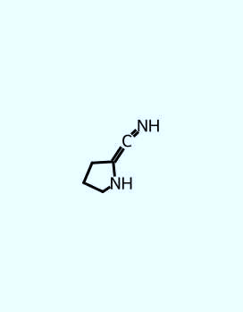 N=C=C1CCCN1